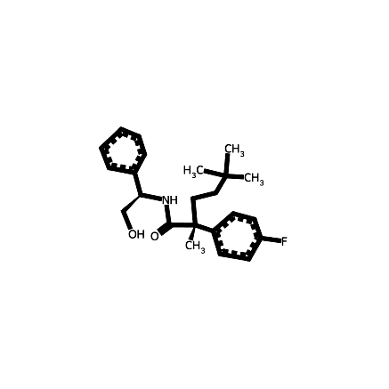 CC(C)(C)CC[C@@](C)(C(=O)N[C@@H](CO)c1ccccc1)c1ccc(F)cc1